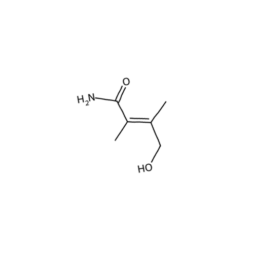 CC(CO)=C(C)C(N)=O